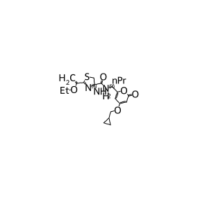 C=C(OCC)C1=N[C@](N)(C(=O)N[C@H](CCC)c2cc(OCC3CC3)cc(=O)o2)CS1